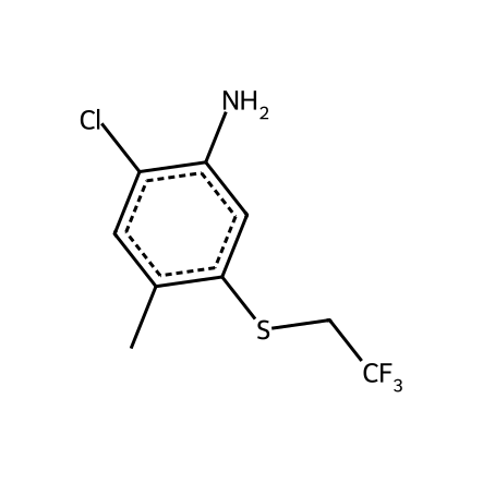 Cc1cc(Cl)c(N)cc1SCC(F)(F)F